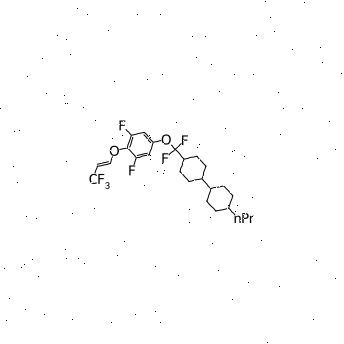 CCCC1CCC(C2CCC(C(F)(F)Oc3cc(F)c(OC=CC(F)(F)F)c(F)c3)CC2)CC1